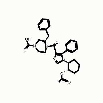 CC(=O)O[C@H]1CCCC[C@@H]1n1cnc(C(=O)N2CCN(C(=O)O)C[C@H]2Cc2ccccc2)c1-c1ccccc1